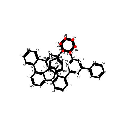 c1ccc(-c2nc(-c3ccccc3)nc(-c3ccccc3-c3nc(-c4ccccc4)nc(-c4ccccc4-c4cccc5oc6ccccc6c45)n3)n2)cc1